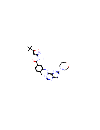 Cc1ccc(C(=O)Nc2cc(C(C)(C)C)on2)cc1Nc1ncnc2cnc(N3CCCOCC3)nc12